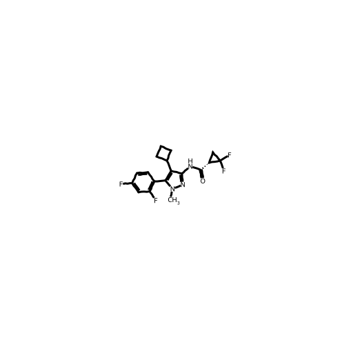 Cn1nc(NC(=O)[C@@H]2CC2(F)F)c(C2CCC2)c1-c1ccc(F)cc1F